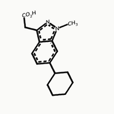 Cn1nc(CC(=O)O)c2ccc(C3CCCCC3)cc21